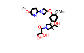 COc1ccc([C@@H]2CN(C(=O)C(O)CO)C[C@@]2(C)C(C)O)cc1OC1CN(c2ccc(OC(C)C)cn2)C1